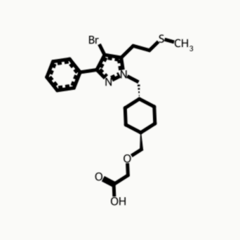 CSCCc1c(Br)c(-c2ccccc2)nn1C[C@H]1CC[C@H](COCC(=O)O)CC1